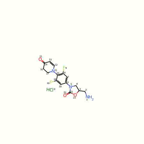 Cl.NCC1CN(c2cc(F)c(N3C=CC(=O)CC3)c(F)c2)C(=O)O1